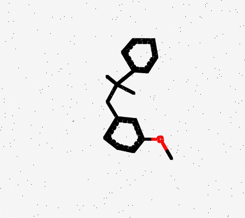 COc1cccc(CC(C)(C)c2ccccc2)c1